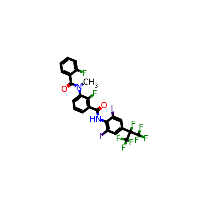 CN(C(=O)c1ccccc1F)c1cccc(C(=O)Nc2c(I)cc(C(F)(C(F)(F)F)C(F)(F)F)cc2I)c1F